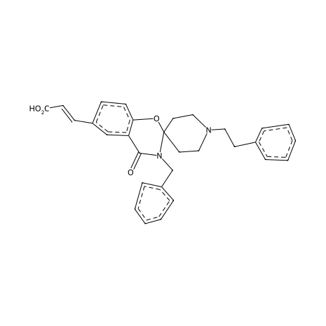 O=C(O)/C=C/c1ccc2c(c1)C(=O)N(Cc1ccccc1)C1(CCN(CCc3ccccc3)CC1)O2